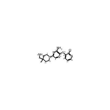 CC1(CN)CCN(c2cnc(Sc3cccnc3Cl)c(N)n2)CC1